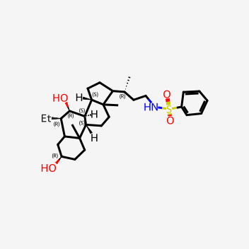 CC[C@@H]1C2C[C@H](O)CCC2(C)[C@H]2CCC3(C)C([C@H](C)CCNS(=O)(=O)c4ccccc4)CC[C@H]3[C@@H]2[C@@H]1O